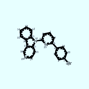 Brc1ccc(-c2cccc(-n3c4ccccc4c4cnccc43)n2)cc1